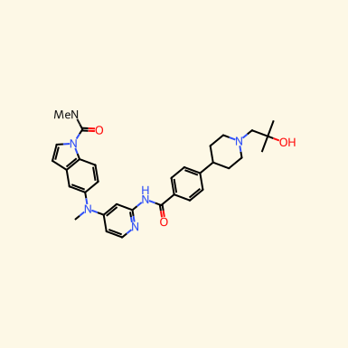 CNC(=O)n1ccc2cc(N(C)c3ccnc(NC(=O)c4ccc(C5CCN(CC(C)(C)O)CC5)cc4)c3)ccc21